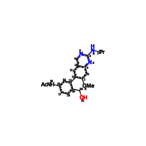 COc1cc2nc(NC(C)C)ncc2cc1-c1cc(NC(C)=O)ccc1CO